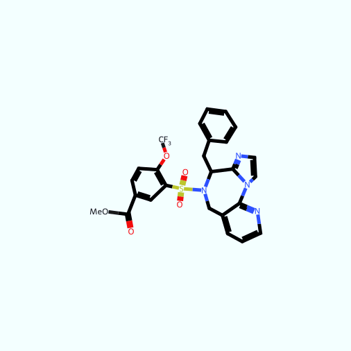 COC(=O)c1ccc(OC(F)(F)F)c(S(=O)(=O)N2Cc3cccnc3-n3ccnc3C2Cc2ccccc2)c1